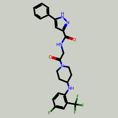 O=C(NCC(=O)N1CCC(Nc2ccc(F)cc2C(F)(F)F)CC1)c1cc(-c2ccccc2)[nH]n1